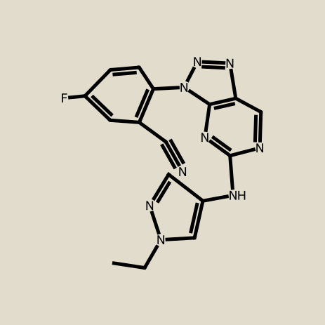 CCn1cc(Nc2ncc3nnn(-c4ccc(F)cc4C#N)c3n2)cn1